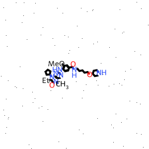 CC[C@@H]1C(=O)N(C)c2cnc(Nc3ccc(C(=O)NCCCCCOC4CCNCC4)cc3OC)nc2N1C1CCCC1